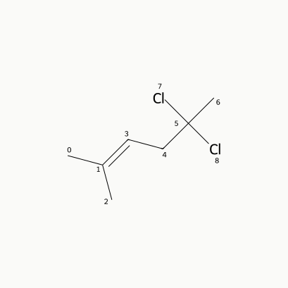 CC(C)=CCC(C)(Cl)Cl